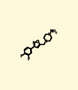 NN1CCN(Cc2cc(-c3ccc(F)c(F)c3)no2)CC1